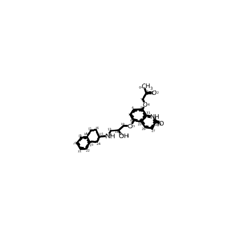 CC(=O)COc1ccc(OCC(O)CNC2CCc3ccccc3C2)c2ccc(=O)[nH]c12